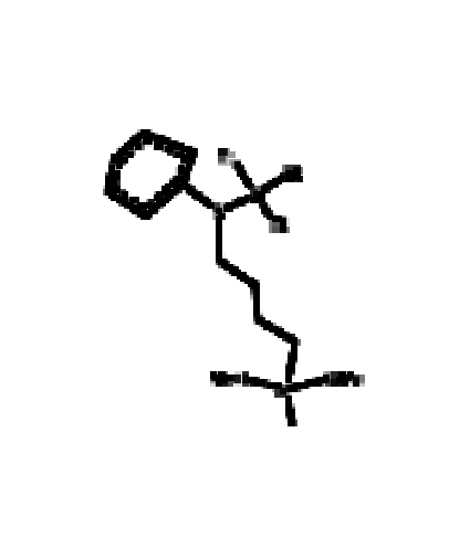 CC[Si](CC)(CC)N(CCCC[Si](C)(OC)OC)c1ccccc1